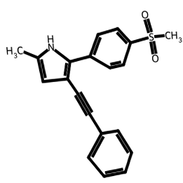 Cc1cc(C#Cc2ccccc2)c(-c2ccc(S(C)(=O)=O)cc2)[nH]1